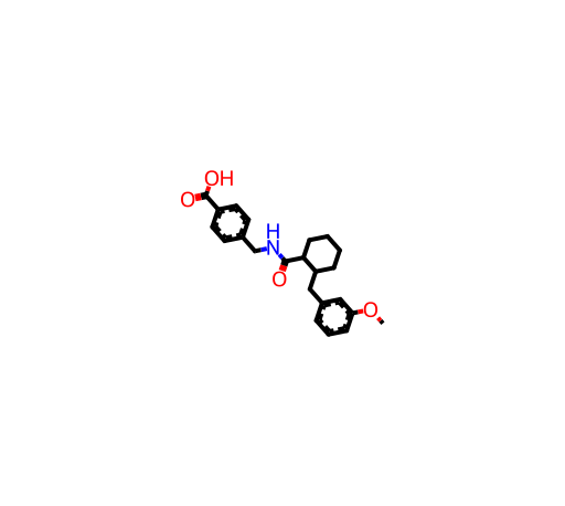 COc1cccc(CC2CCCCC2C(=O)NCc2ccc(C(=O)O)cc2)c1